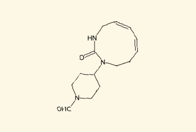 O=CN1CCC(N2CC/C=C\C=C/CNC2=O)CC1